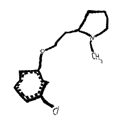 CN1CCCC1CCOc1cccc(Cl)c1